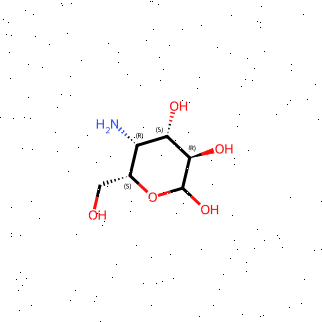 N[C@@H]1[C@H](O)[C@@H](O)C(O)O[C@@H]1CO